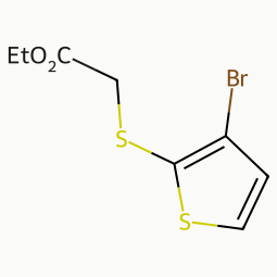 CCOC(=O)CSc1sccc1Br